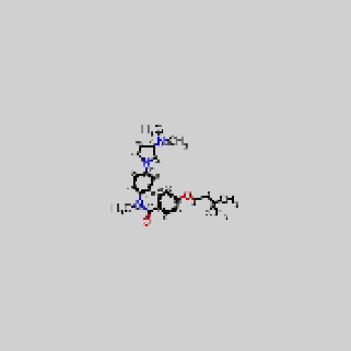 CC(C)CCOc1ccc(C(=O)N(C)c2ccc(N3CCC(N(C)C)C3)cc2)cc1